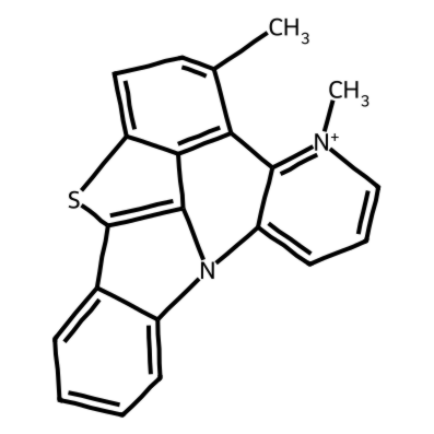 Cc1ccc2sc3c4ccccc4n4c5ccc[n+](C)c5c1c2c34